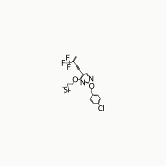 C=C(C#Cc1cnc(OCc2ccc(Cl)cc2)nc1OCC[Si](C)(C)C)C(F)(F)F